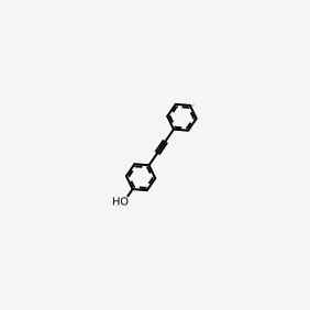 Oc1ccc(C#Cc2cc[c]cc2)cc1